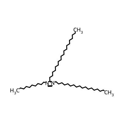 CCCCCCCCCCCCCCCCCCCc1n(CCCCCCCCCC)cc[n+]1CCCCCCCCCCCCCCCCCC